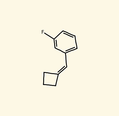 Fc1cccc(C=C2CCC2)c1